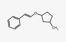 CC1CCC(OC=Cc2ccccc2)C1